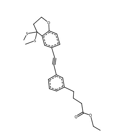 CCOC(=O)CCCc1cccc(C#Cc2ccc3c(c2)C(SC)(SC)CCO3)c1